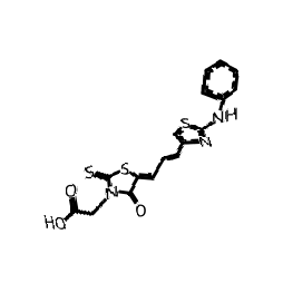 O=C(O)CN1C(=O)C(=CC=Cc2csc(Nc3ccccc3)n2)SC1=S